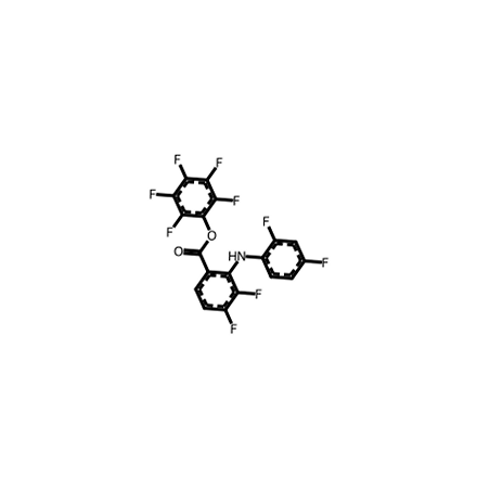 O=C(Oc1c(F)c(F)c(F)c(F)c1F)c1ccc(F)c(F)c1Nc1ccc(F)cc1F